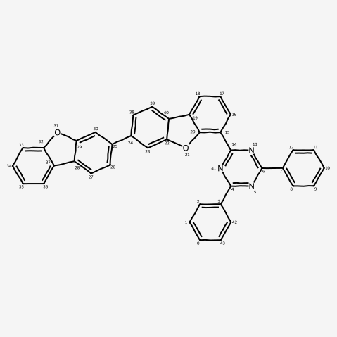 c1ccc(-c2nc(-c3ccccc3)nc(-c3cccc4c3oc3cc(-c5ccc6c(c5)oc5ccccc56)ccc34)n2)cc1